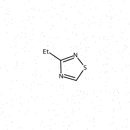 [CH2]Cc1ncsn1